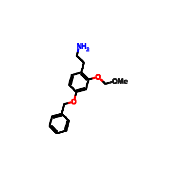 COCOc1cc(OCc2ccccc2)ccc1CCN